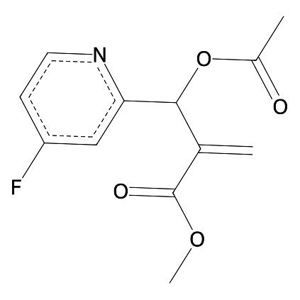 C=C(C(=O)OC)C(OC(C)=O)c1cc(F)ccn1